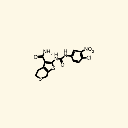 NC(=O)c1c(NC(=O)Nc2ccc(Cl)c([N+](=O)[O-])c2)sc2c1CCSC2